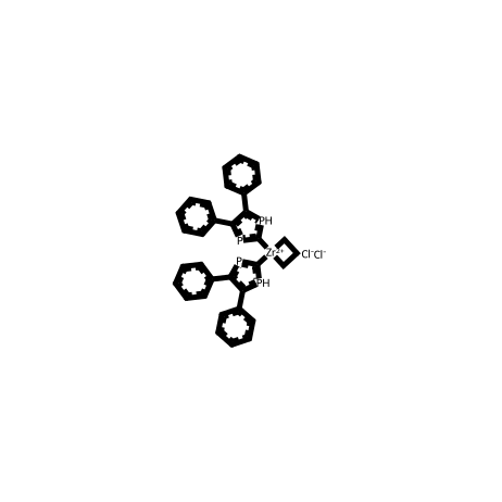 [Cl-].[Cl-].c1ccc(-c2p[c]([Zr+2]3([c]4pc(-c5ccccc5)c(-c5ccccc5)[pH]4)[CH2]C[CH2]3)[pH]c2-c2ccccc2)cc1